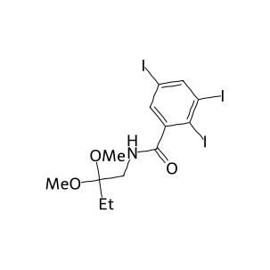 CCC(CNC(=O)c1cc(I)cc(I)c1I)(OC)OC